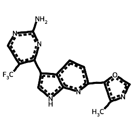 Cc1ncoc1-c1ccc2c(-c3nc(N)ncc3C(F)(F)F)c[nH]c2n1